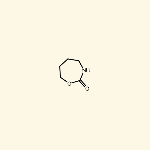 O=C1NCCCCO1